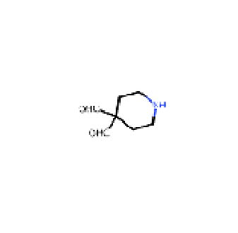 O=CC1(C=O)CCNCC1